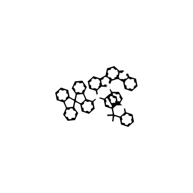 CC1(C)c2ccccc2Oc2ccc(N(c3cccc4c3-c3ccccc3C43c4ccccc4-c4ccccc43)c3cccc4c5ccc6oc7ccccc7c6c5n(-c5ccccc5)c34)cc21